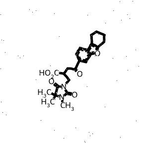 CN1C(=O)N(CC(CC(=O)c2ccc3c4c(oc3c2)CCCC4)C(=O)O)C(=O)C1(C)C